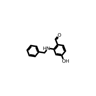 O=Cc1ccc(O)cc1NCc1ccccc1